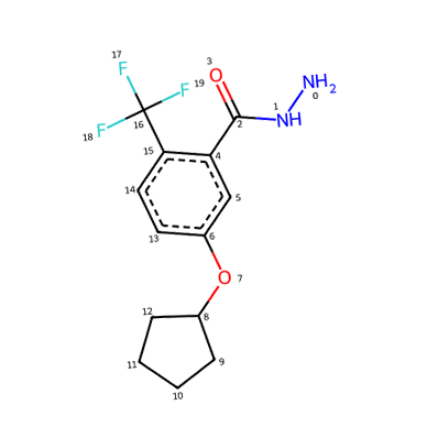 NNC(=O)c1cc(OC2CCCC2)ccc1C(F)(F)F